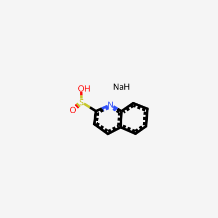 O=S(O)c1ccc2ccccc2n1.[NaH]